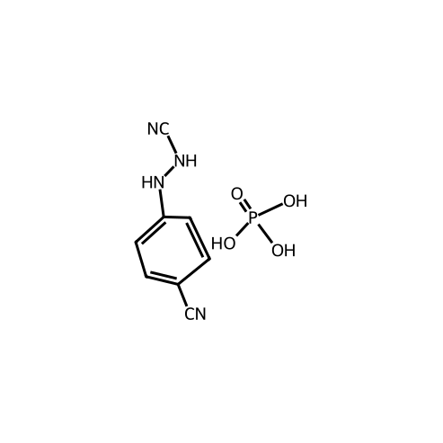 N#CNNc1ccc(C#N)cc1.O=P(O)(O)O